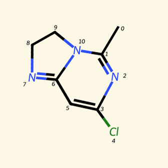 CC1=NC(Cl)=CC2=NCCN12